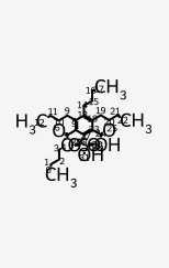 CCCCOC(=O)c1c(CCCC)c(CCCC)c(CCCC)c(C(=O)O)c1S(=O)(=O)O